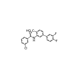 O=C(Nc1cc(-c2ccc(F)c(F)c2)ccc1C(=O)O)c1cccc(Cl)c1